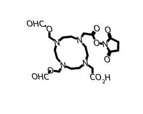 O=COCN1CCN(COC=O)CCN(CC(=O)ON2C(=O)CCC2=O)CCN(CC(=O)O)CC1